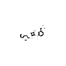 CC[C@H](Cc1cccs1)Nc1c(Nc2cccc(C(=O)N(C)C)c2O)c(=O)c1=O